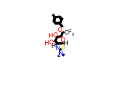 Cc1ccc(CO[C@H](C2O[C@@H]3SC(N(C)C)=N[C@@H]3[C@@H](O)[C@@H]2O)C(F)(F)F)cc1